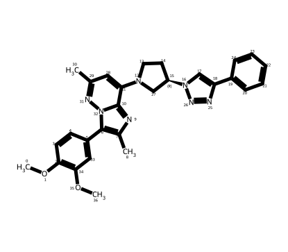 COc1ccc(-c2c(C)nc3c(N4CC[C@@H](n5cc(-c6ccccc6)nn5)C4)cc(C)nn23)cc1OC